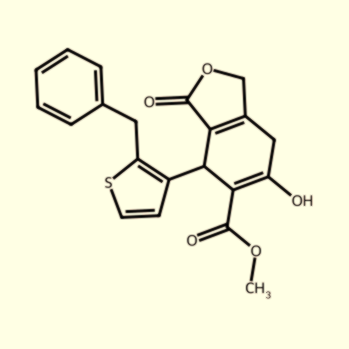 COC(=O)C1=C(O)CC2=C(C(=O)OC2)C1c1ccsc1Cc1ccccc1